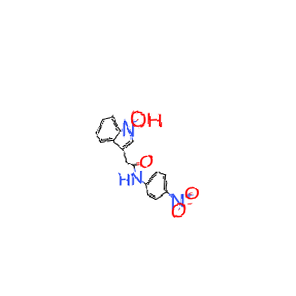 O=C(Cc1cn(O)c2ccccc12)Nc1ccc([N+](=O)[O-])cc1